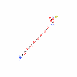 [N-]=[N+]=NCCOCCOCCOCCOCCOCCOCCOCCOCCNC(=O)OC(=O)ONS